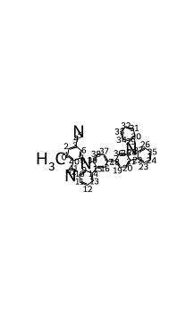 Cc1cc(C#N)cc(-n2c3ccccc3c3cc(-c4ccc5c6ccccc6n(-c6ccccc6)c5c4)ccc32)c1C#N